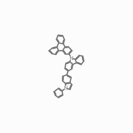 c1ccc(-n2ccc3cc(-c4ccc5c(c4)c4ccccc4n5-c4ccc5c6ccccc6c6ccccc6c5c4)ccc32)cc1